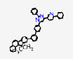 CC1(C)c2cc(-c3cccc(-c4ccc(-c5cc(-c6ccc(-c7ccccc7)nc6)nc(-c6ccccc6)n5)cc4)c3)ccc2-c2ccc3ccccc3c21